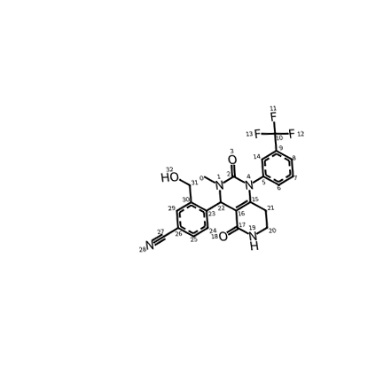 CN1C(=O)N(c2cccc(C(F)(F)F)c2)C2=C(C(=O)NCC2)C1c1ccc(C#N)cc1CO